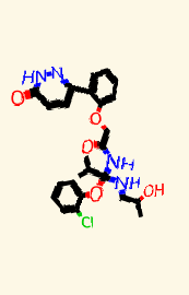 CC(O)CNC(NC(=O)COc1ccccc1C1=NNC(=O)CC1)(Oc1ccccc1Cl)C(C)C